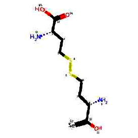 N[C@@H](CCSSCC[C@H](N)C(O)=[Se])C(=O)O